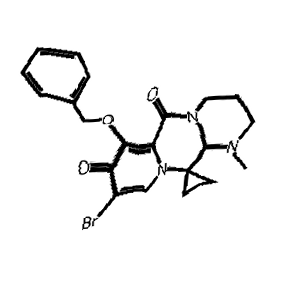 CN1CCCN2C(=O)c3c(OCc4ccccc4)c(=O)c(Br)cn3C3(CC3)C12